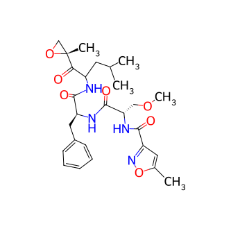 COC[C@H](NC(=O)c1cc(C)on1)C(=O)N[C@@H](Cc1ccccc1)C(=O)NC(CC(C)C)C(=O)[C@@]1(C)CO1